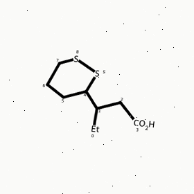 CCC(CC(=O)O)C1CCCSS1